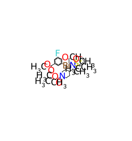 COC(=O)c1cc(F)c(O[C@H](C)CN([C@@H](C)C2CCN(C(=O)OC(C)(C)C)CC2)[S@@+]([O-])C(C)(C)C)c(Br)c1